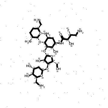 NC[C@@H]1CC[C@@H](N)[C@@H](O[C@H]2[C@H](O[C@@H]3O[C@H](CO)[C@@H](O[C@@H]4C[C@@H](O)[C@H](O)[C@H](CN)O4)[C@H]3O)[C@@H](O)[C@H](NC(=O)[C@@H](O)[C@H](F)CN)C[C@@H]2N)O1